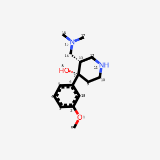 COc1cccc([C@]2(O)CCNC[C@H]2CN(C)C)c1